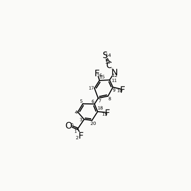 O=C(F)c1ccc(-c2cc(F)c(N=C=S)c(F)c2)c(F)c1